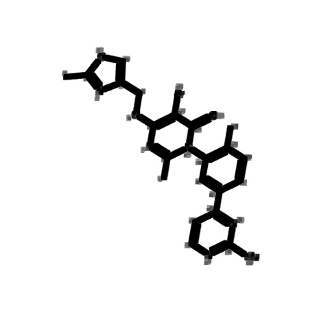 Cc1nc(COc2nc(C)n(-c3cc(-c4ccnc(C(C)(C)C)n4)ccc3C)c(=O)c2Br)co1